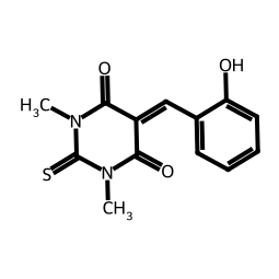 CN1C(=O)C(=Cc2ccccc2O)C(=O)N(C)C1=S